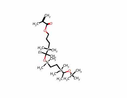 C=C(C)C(=O)OCCC[Si](C)(C)C(C)(CC)O[Si](C)(C)CC[Si](C)(C)C(C)O[Si](C)(C)C